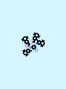 Cc1cc2c(cc1N1c3cc(Cl)cc4c3B(c3sc5cc6c(c7c5c3N4c3cc4c(cc3-7)C(C)(C)CCC4(C)C)C(C)(C)CCC6(C)C)c3c1oc1cc4c(cc31)C(C)(C)CCC4(C)C)C(C)(C)CCC2(C)C